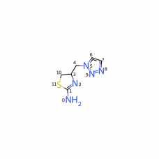 NC1=NC(Cn2ccnn2)CS1